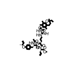 C=CC[C@H](NC(=O)[C@H](CCCNC(=N)NS(=O)(=O)c1c(C)c(C)c2c(c1C)CCC(C)(CC)O2)NC(=O)[C@H](Cc1ccc(O[C@H](C)C=C)cc1)NC(C)=O)C(=O)OC